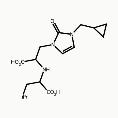 CC(C)CC(NC(Cn1ccn(CC2CC2)c1=O)C(=O)O)C(=O)O